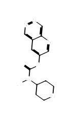 CN(C(=O)Oc1cnc2cnncc2c1)C1CCNCC1